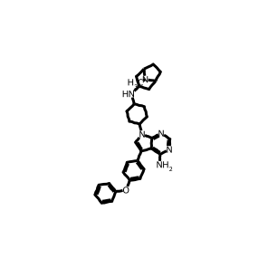 CN1C2CCC1CC(NC1CCC(n3cc(-c4ccc(Oc5ccccc5)cc4)c4c(N)ncnc43)CC1)C2